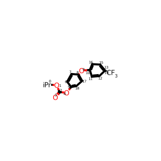 CC(C)OC(=O)Oc1ccc(Oc2ccc(C(F)(F)F)cc2)cc1